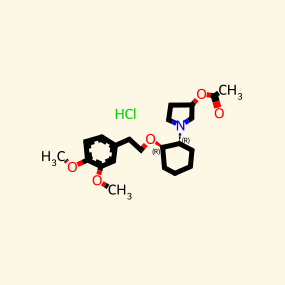 COc1ccc(CCO[C@@H]2CCCC[C@H]2N2CCC(OC(C)=O)C2)cc1OC.Cl